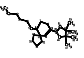 COCCCOC1CCC(B2OC(C)(C)C(C)(C)O2)=CC12CCCC2